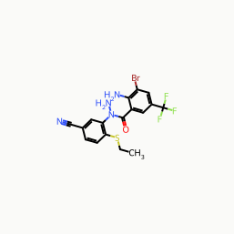 CCSc1ccc(C#N)cc1N(N)C(=O)c1cc(C(F)(F)F)cc(Br)c1N